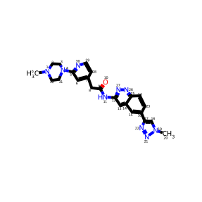 CN1CCN(c2cc(CC(=O)Nc3cc4cc(-c5cn(C)nn5)ccc4nn3)ccn2)CC1